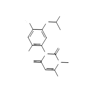 CC(Sc1cc(-n2c(=O)cc(C(F)(F)F)n(C)c2=O)c(F)cc1C#N)C(=O)O